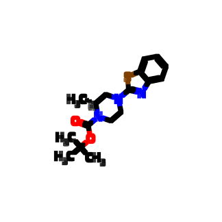 C[C@@H]1CN(c2nc3ccccc3s2)CCN1C(=O)OC(C)(C)C